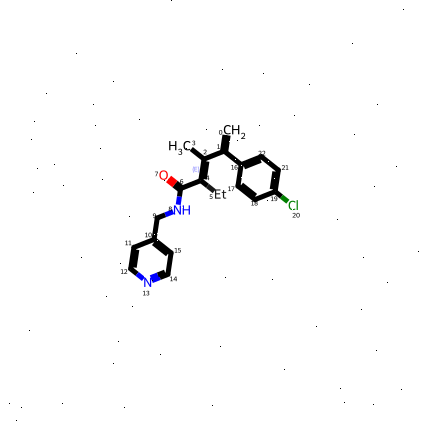 C=C(/C(C)=C(\CC)C(=O)NCc1ccncc1)c1ccc(Cl)cc1